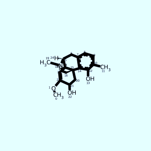 COC1=C[C@@H]2[C@@H]3Cc4ccc(C)c(O)c4[C@]2(CCN3C)CC1O